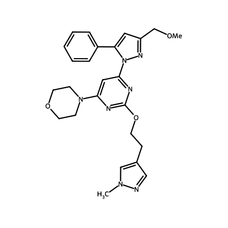 COCc1cc(-c2ccccc2)n(-c2cc(N3CCOCC3)nc(OCCc3cnn(C)c3)n2)n1